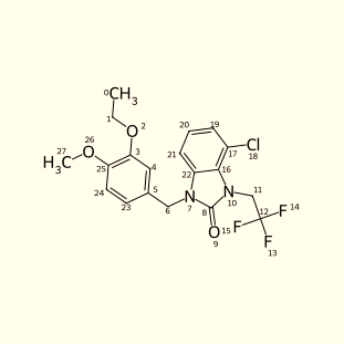 CCOc1cc(Cn2c(=O)n(CC(F)(F)F)c3c(Cl)cccc32)ccc1OC